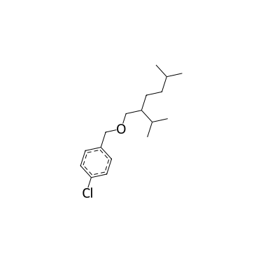 CC(C)CCC(COCc1ccc(Cl)cc1)C(C)C